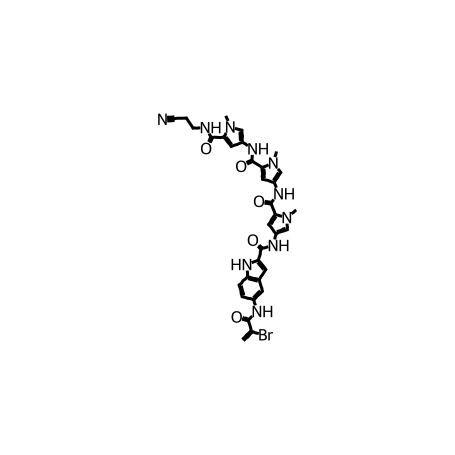 C=C(Br)C(=O)Nc1ccc2[nH]c(C(=O)Nc3cc(C(=O)Nc4cc(C(=O)Nc5cc(C(=O)NCCC#N)n(C)c5)n(C)c4)n(C)c3)cc2c1